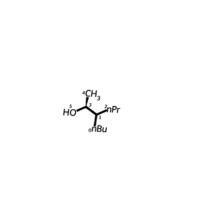 CCCCC(CCC)[C@H](C)O